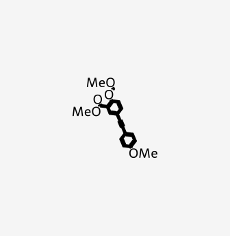 COCOc1ccc(C#Cc2ccc(OC)cc2)cc1C(=O)OC